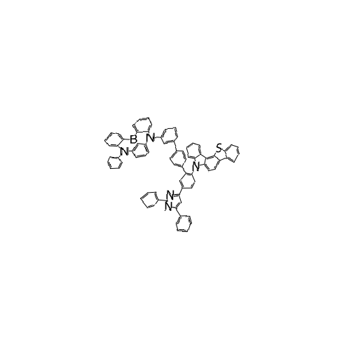 c1ccc(-c2cc(-c3ccc(-n4c5ccccc5c5c6sc7ccccc7c6ccc54)c(-c4ccc(-c5cccc(N6c7ccccc7B7c8ccccc8N(c8ccccc8)c8cccc6c87)c5)cc4)c3)nc(-c3ccccc3)n2)cc1